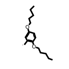 [CH2]c1cc(OCCCCC)ccc1OCCCCC